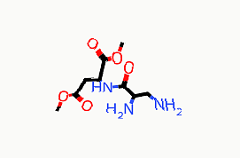 COC(=O)CC(NC(=O)C(N)CN)C(=O)OC